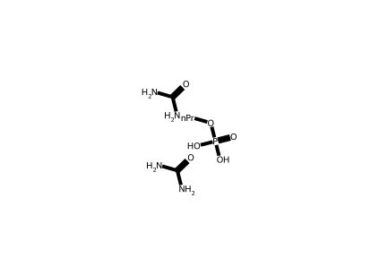 CCCOP(=O)(O)O.NC(N)=O.NC(N)=O